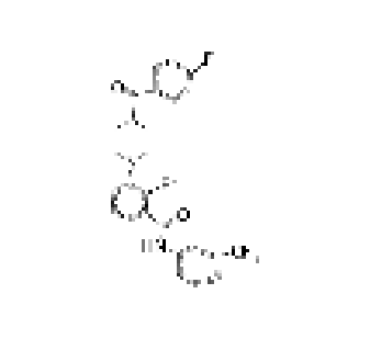 CCc1c(C(=O)Nc2cccc(C(F)(F)F)c2)cccc1N1CCC(C(=O)c2ccc(F)cc2)CC1